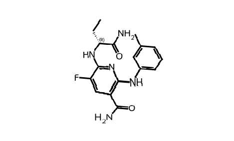 CC[C@@H](Nc1nc(Nc2cccc(C)c2)c(C(N)=O)cc1F)C(N)=O